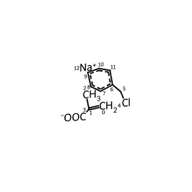 C=C(C)C(=O)[O-].ClCc1ccccc1.[Na+]